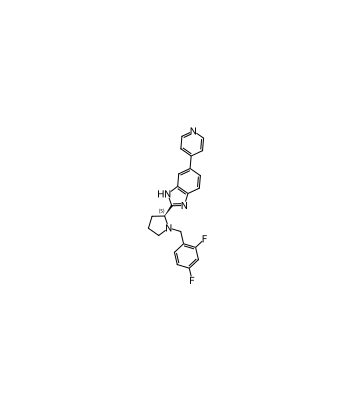 Fc1ccc(CN2CCC[C@H]2c2nc3ccc(-c4ccncc4)cc3[nH]2)c(F)c1